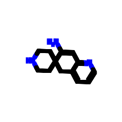 NC1=Cc2ncccc2CC12CCNCC2